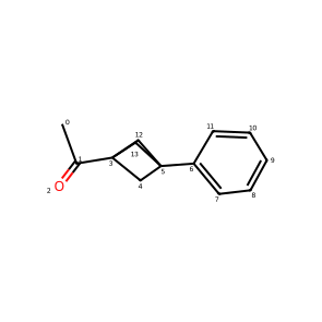 CC(=O)C12CC(c3ccccc3)(C1)C2